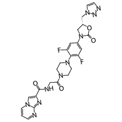 O=C(NCC(=O)N1CCN(c2c(F)cc(N3C[C@H](Cn4ccnn4)OC3=O)cc2F)CC1)c1cn2cccnc2n1